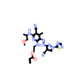 C=CC(=O)OCCNc1nc(NC(C)COC)c(C#N)c(C)c1N=Nc1nn(-c2ncns2)cc1C#N